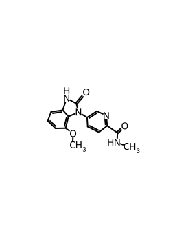 CNC(=O)c1ccc(-n2c(=O)[nH]c3cccc(OC)c32)cn1